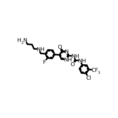 NCCCNCc1ccc(-c2c[nH]c(NC(=O)Nc3ccc(Cl)c(C(F)(F)F)c3)nc2=O)cc1F